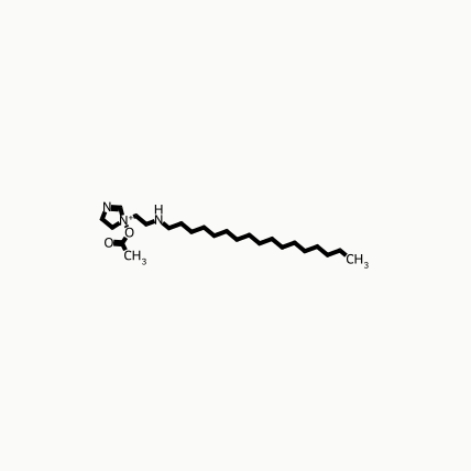 CCCCCCCCCCCCCCCCCNCC[N+]1(OC(C)=O)C=NCC1